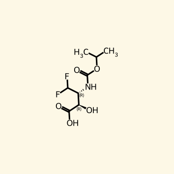 CC(C)OC(=O)N[C@@H](C(F)F)[C@@H](O)C(=O)O